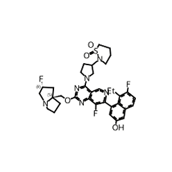 CCc1c(F)ccc2cc(O)cc(-c3ncc4c(N5CCC(N6CCCCS6(=O)=O)C5)nc(OC[C@@]56CCCN5C[C@H](F)C6)nc4c3F)c12